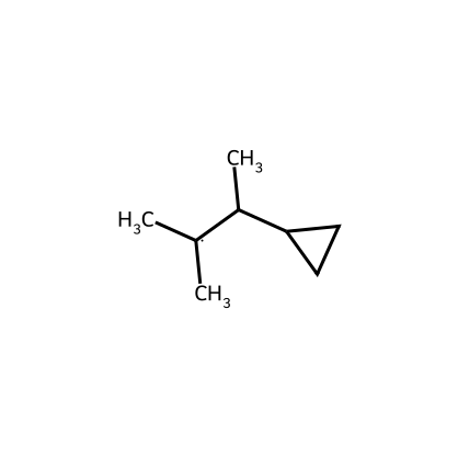 C[C](C)C(C)C1CC1